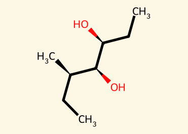 CC[C@@H](C)[C@H](O)[C@@H](O)CC